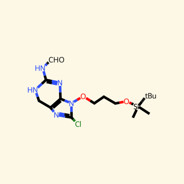 CC(C)(C)[Si](C)(C)OCCCOn1c(Cl)nc2c1N=C(NC=O)NC2